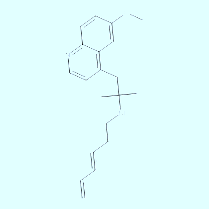 C=C/C=C/CCNC(C)(C)Cc1ccnc2ccc(OC)cc12